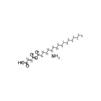 CCCCCCCCCCCCCCCCCC(=O)OC(=O)/C=C/C(=O)O.N